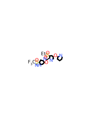 CCS(=O)(=O)c1cc(Oc2ccccn2)cnc1-c1nc2cc(S(=N)(=O)C(F)(F)F)ccc2o1